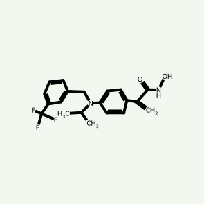 C=C(C(=O)NO)c1ccc(N(Cc2cccc(C(F)(F)F)c2)C(C)C)cc1